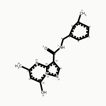 Cc1cccc(CNC(=O)c2cnn3c(O)cc(C)nc23)c1